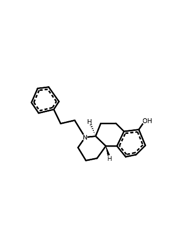 Oc1cccc2c1CC[C@H]1[C@H]2CCCN1CCc1ccccc1